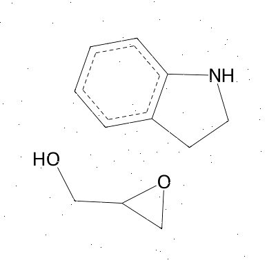 OCC1CO1.c1ccc2c(c1)CCN2